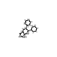 c1ccc(-c2nc3[nH]ncc3cc2-c2ccncn2)cc1